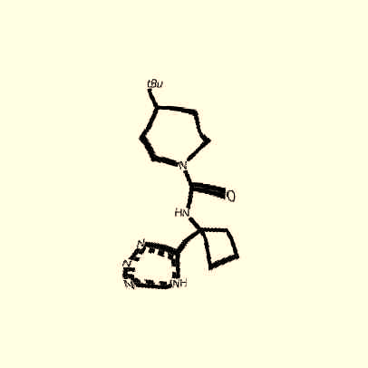 CC(C)(C)C1CCN(C(=O)NC2(c3nnn[nH]3)CCC2)CC1